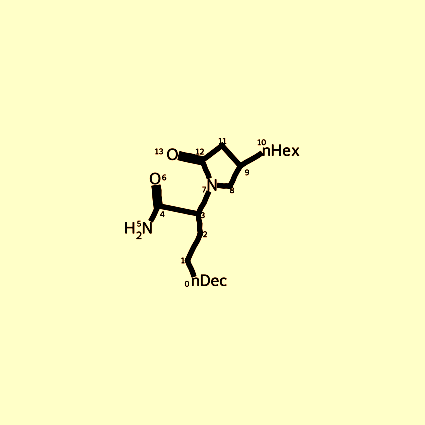 CCCCCCCCCCCCC(C(N)=O)N1CC(CCCCCC)CC1=O